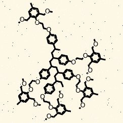 CCC(CC(CC(CC(CC(C)c1ccc(OCCOc2c(COC)cc(C)cc2COC)cc1)c1ccc(OCCOc2c(COC)cc(C)cc2COC)cc1)c1ccc(OCCOc2c(COC)cc(C)cc2COC)cc1)c1ccc(OCCOc2c(COC)cc(C)cc2COC)cc1)c1ccc(OCCOc2c(COC)cc(C)cc2COC)cc1